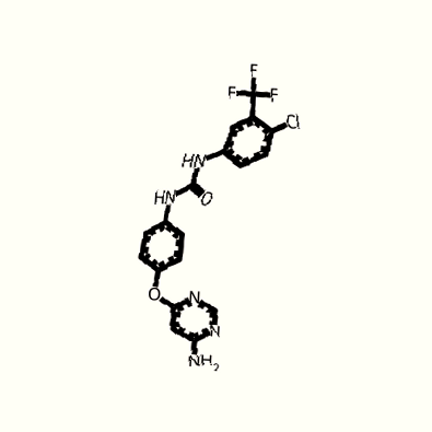 Nc1cc(Oc2ccc(NC(=O)Nc3ccc(Cl)c(C(F)(F)F)c3)cc2)ncn1